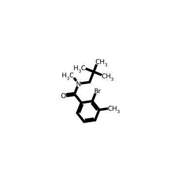 Cc1cccc(C(=O)N(C)CC(C)(C)C)c1Br